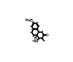 CCCCC1C(C)C(=O)CC2c3ccc(OC)cc3CC[C@H]21